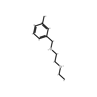 CCOCCOCc1cccc(C)c1